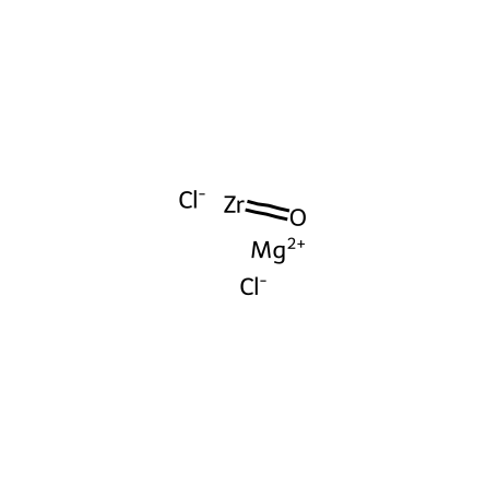 [Cl-].[Cl-].[Mg+2].[O]=[Zr]